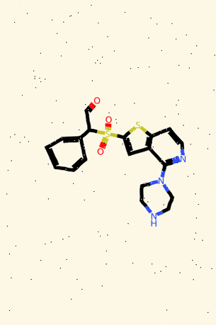 O=CC(c1ccccc1)S(=O)(=O)c1cc2c(N3CCNCC3)nccc2s1